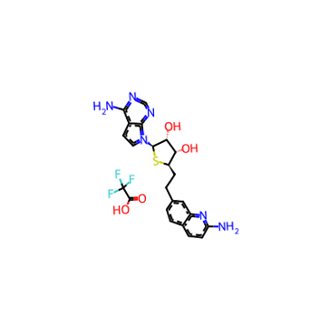 Nc1ccc2ccc(CC[C@H]3S[C@@H](n4ccc5c(N)ncnc54)[C@H](O)[C@@H]3O)cc2n1.O=C(O)C(F)(F)F